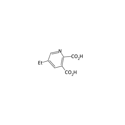 CCc1cnc(C(=O)O)c(C(=O)O)c1